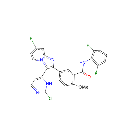 COc1ccc(-c2nc3cc(F)ccn3c2C2=CC=NC(Cl)N2)cc1C(=O)Nc1c(F)cccc1F